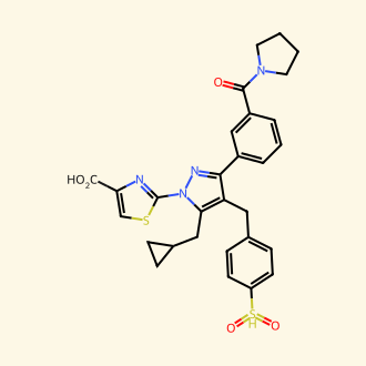 O=C(O)c1csc(-n2nc(-c3cccc(C(=O)N4CCCC4)c3)c(Cc3ccc([SH](=O)=O)cc3)c2CC2CC2)n1